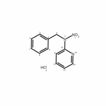 Cl.O=[N+]([O-])N(Cc1ccccc1)c1ccccn1